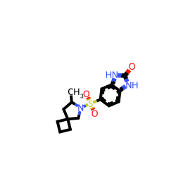 CC1CC2(CCC2)CN1S(=O)(=O)c1ccc2[nH]c(=O)[nH]c2c1